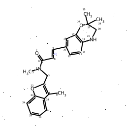 Cc1c(CN(C)C(=O)/C=C/c2cnc3c(c2)OC(C)(C)CN3)oc2ccccc12